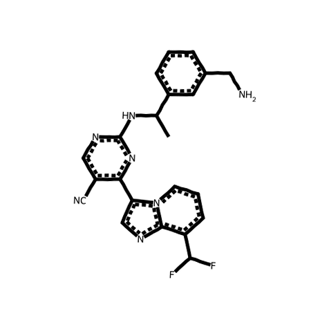 CC(Nc1ncc(C#N)c(-c2cnc3c(C(F)F)cccn23)n1)c1cccc(CN)c1